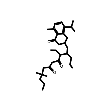 CCCC(CC1CC(=O)c2c(C)ccc(C(C)C)c2C1)C(CC)C(=O)CC(=O)CC(C)(C)CCC